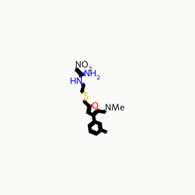 CNCc1oc(CSCCNC(N)=C[N+](=O)[O-])cc1-c1cccc(C)c1